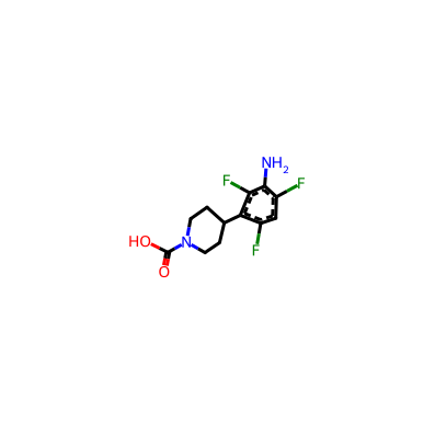 Nc1c(F)cc(F)c(C2CCN(C(=O)O)CC2)c1F